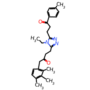 CCn1c(CCC(=O)Cc2ccc(C)c(C)c2C)nnc1CCC(=O)c1ccc(C)cc1